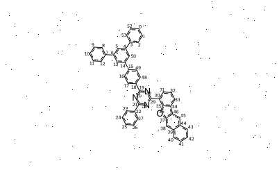 c1ccc(-c2cc(-c3ccccc3)cc(-c3ccc(-c4nc(-c5ccccc5)nc(-c5cccc6c5oc5cc7ccccc7cc56)n4)cc3)c2)cc1